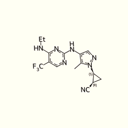 CCNc1nc(Nc2cnn([C@H]3C[C@H]3C#N)c2C)ncc1C(F)(F)F